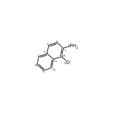 [O-][n+]1c(P)ccc2ccccc21